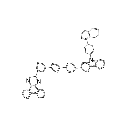 C1=Cc2cccc(C3C=CC(n4c5ccccc5c5ccc(-c6ccc(-c7ccc(-c8cccc(-c9cnc%10c%11ccccc%11c%11ccccc%11c%10n9)c8)cc7)cc6)cc54)=CC3)c2CC1